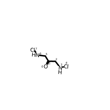 O=C(CNCl)CNCl